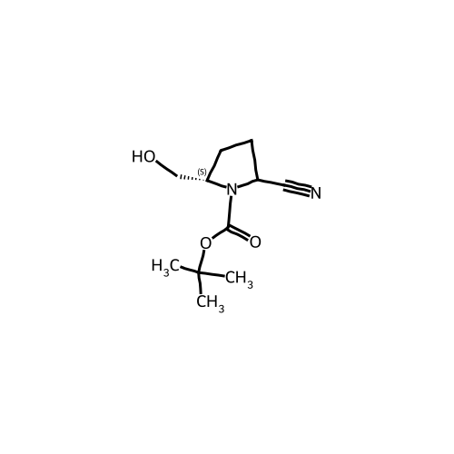 CC(C)(C)OC(=O)N1C(C#N)CC[C@H]1CO